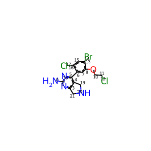 Nc1nc2c(c(-c3cc(OCCCl)c(Br)cc3Cl)n1)CNC2